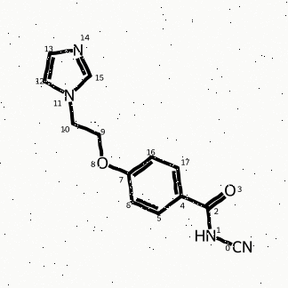 N#CNC(=O)c1ccc(OCCn2ccnc2)cc1